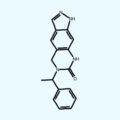 CC(c1ccccc1)N1Cc2cc3cn[nH]c3cc2NC1=O